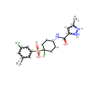 O=C(N[C@H]1CC[C@@](F)(S(=O)(=O)c2cc(F)cc(C(F)(F)F)c2)CC1)c1cc(C(F)(F)F)n[nH]1